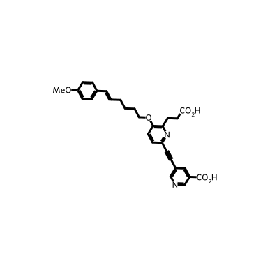 COc1ccc(/C=C/CCCCOc2ccc(C#Cc3cncc(C(=O)O)c3)nc2CCC(=O)O)cc1